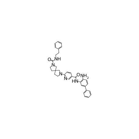 Nc1ccc(-c2ccccc2)cc1NC(=O)c1ccc(N2CCC3(CCN(C(=O)NCCc4ccccc4)C3)C2)nc1